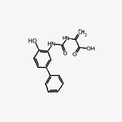 C=C(NC(=O)Nc1cc(-c2ccccc2)ccc1O)C(=O)O